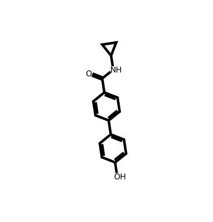 O=C(NC1CC1)c1ccc(-c2ccc(O)cc2)cc1